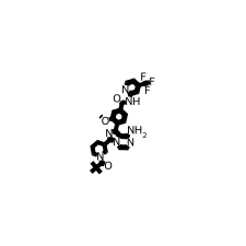 COc1cc(C(=O)Nc2cc(C(F)(F)F)ccn2)ccc1-c1nc(C2CCCN(C(=O)C(C)(C)C)C2)n2ccnc(N)c12